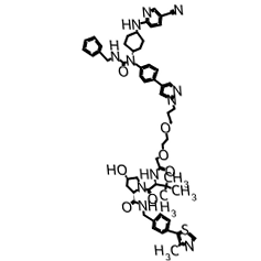 Cc1ncsc1-c1ccc(CNC(=O)[C@@H]2C[C@@H](O)CN2C(=O)[C@@H](NC(=O)COCCOCCCn2cc(-c3ccc(N(C(=O)NCc4ccccc4)[C@H]4CC[C@H](Nc5ccc(C#N)cn5)CC4)cc3)cn2)C(C)(C)C)cc1